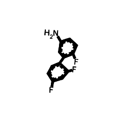 Nc1ccc(F)c(-c2ccc(F)cc2F)c1